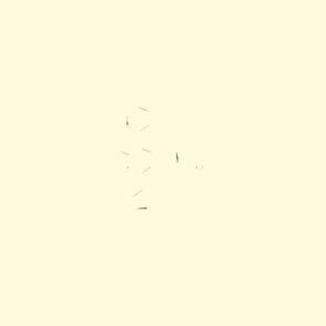 COC(=O)Cc1cc(-c2ccccc2)c(=O)n2c1-c1sccc1CC2